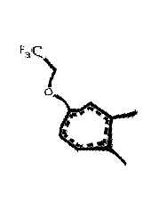 Cc1[c]cc(OCC(F)(F)F)cc1C